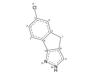 Clc1ccc2c(c1)Cc1[c][nH]nc1-2